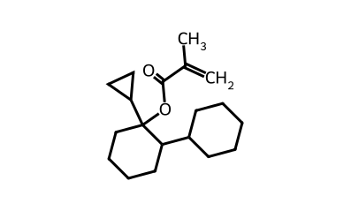 C=C(C)C(=O)OC1(C2CC2)CCCCC1C1CCCCC1